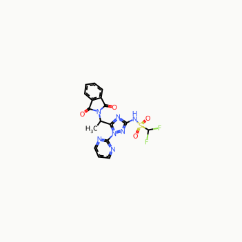 CC(c1nc(NS(=O)(=O)C(F)F)nn1-c1ncccn1)N1C(=O)c2ccccc2C1=O